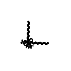 CCCCCCCCCC(=O)C(C[N+](C)(C)C)(O[PH-])C(=O)CCCCCCCCC